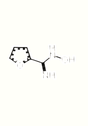 N=C(NO)c1ccco1